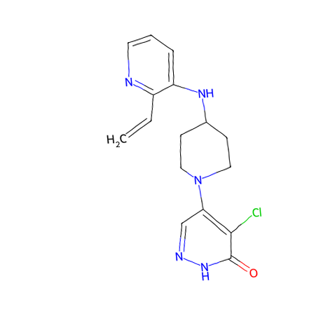 C=Cc1ncccc1NC1CCN(c2cn[nH]c(=O)c2Cl)CC1